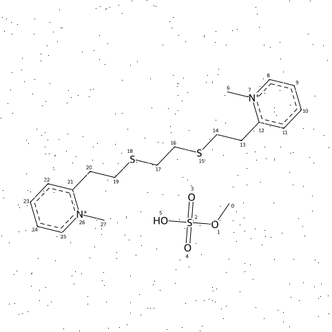 COS(=O)(=O)O.C[n+]1ccccc1CCSCCSCCc1cccc[n+]1C